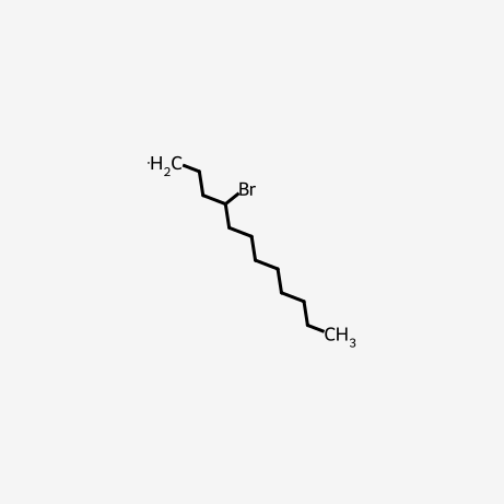 [CH2]CCC(Br)CCCCCCCC